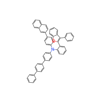 c1ccc(-c2ccc(-c3ccc(N(c4ccc(-c5ccc6ccccc6c5)cc4)c4ccccc4-c4oc5ccccc5c4-c4ccccc4)cc3)cc2)cc1